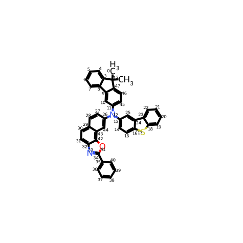 CC1(C)c2ccccc2-c2cc(N(c3ccc4sc5ccccc5c4c3)c3ccc4ccc5nc(-c6ccccc6)oc5c4c3)ccc21